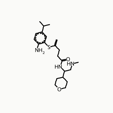 C=C(CCC(=O)NC(CNC)C1CCOCC1)Sc1cc(C(C)C)ccc1N